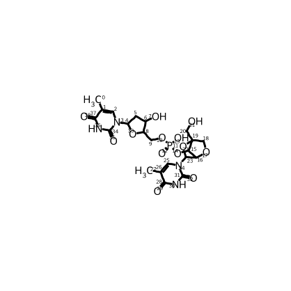 Cc1cn(C2CC(O)C(COP(=O)(O)OC3C4OCC3(CO)OC4n3cc(C)c(=O)[nH]c3=O)O2)c(=O)[nH]c1=O